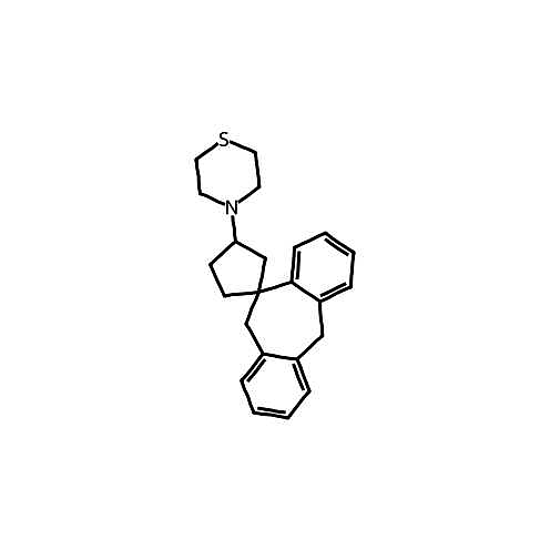 c1ccc2c(c1)Cc1ccccc1C1(CCC(N3CCSCC3)C1)C2